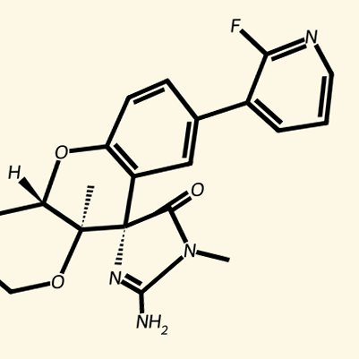 CN1C(=O)[C@]2(N=C1N)c1cc(-c3cccnc3F)ccc1O[C@H]1CCCO[C@@]12C